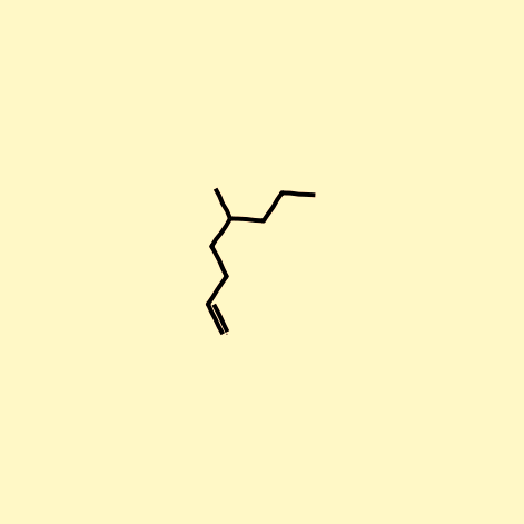 [CH]=CCCC(C)CCC